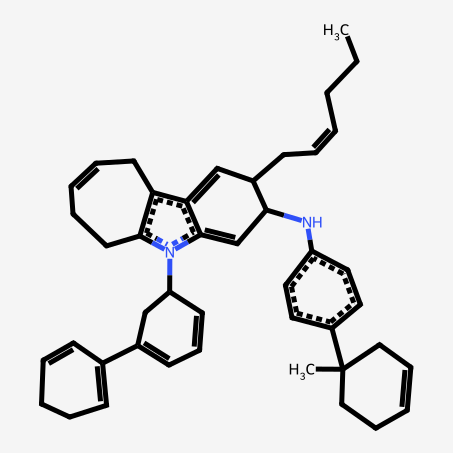 CCC/C=C\CC1C=c2c3c(n(C4C=CC=C(C5=CCCC=C5)C4)c2=CC1Nc1ccc(C2(C)CC=CCC2)cc1)CCC=CC3